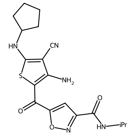 CC(C)NC(=O)c1cc(C(=O)c2sc(NC3CCCC3)c(C#N)c2N)on1